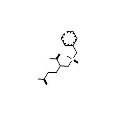 O=C(O)CCC(CP(O)(=S)Cc1ccncc1)C(=O)O